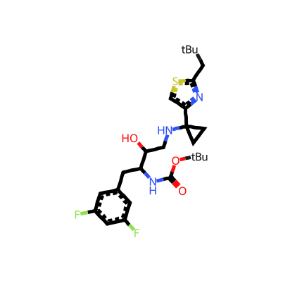 CC(C)(C)Cc1nc(C2(NCC(O)C(Cc3cc(F)cc(F)c3)NC(=O)OC(C)(C)C)CC2)cs1